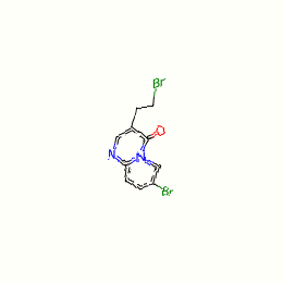 O=c1c(CCBr)cnc2ccc(Br)cn12